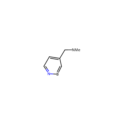 CNCc1cbncc1